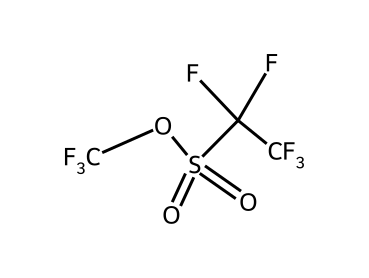 O=S(=O)(OC(F)(F)F)C(F)(F)C(F)(F)F